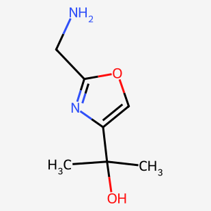 CC(C)(O)c1coc(CN)n1